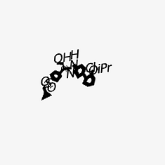 CC(C)Oc1ccccc1-c1cc2nc([C@H](CCO)c3ccc(S(=O)(=O)CC4CC4)cc3)[nH]c2cc1Cl